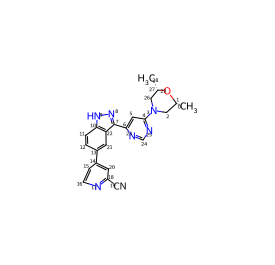 C[C@@H]1CN(c2cc(-c3n[nH]c4ccc(-c5ccnc(C#N)c5)cc34)ncn2)C[C@H](C)O1